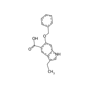 CCc1c[nH]c2cc(OCc3ccccc3)c(C(=O)O)cc12